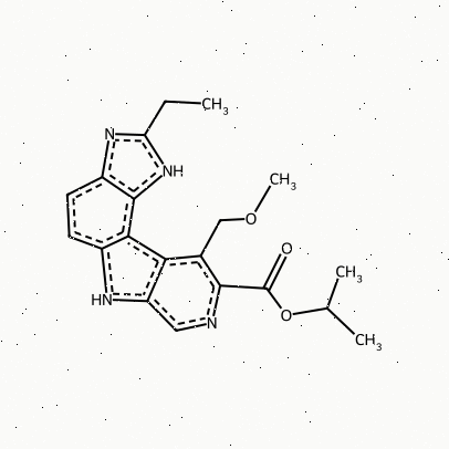 CCc1nc2ccc3[nH]c4cnc(C(=O)OC(C)C)c(COC)c4c3c2[nH]1